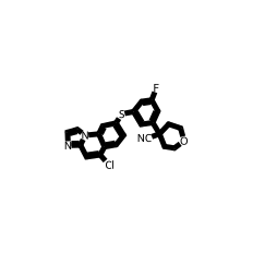 N#CC1(c2cc(F)cc(Sc3ccc4c(Cl)cc5nccn5c4c3)c2)CCOCC1